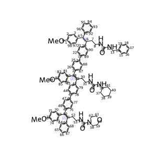 COc1ccc(/C(=C(/CCNC(=O)NCc2ccccc2)c2ccc(-c3ccc(/C(=C(\CCNC(=O)NC4CCCCC4)c4ccc(-c5ccc(/C(=C(\CCNC(=O)N6CCOCC6)c6ccccc6)c6ccc(OC)cc6)cc5)cc4)c4ccc(OC)cc4)cc3)cc2)c2ccccc2)cc1